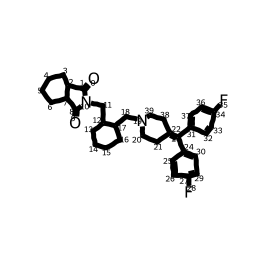 O=C1C2CCCCC2C(=O)N1CC1CCCCC1CN1CCC(=C(c2ccc(F)cc2)c2ccc(F)cc2)CC1